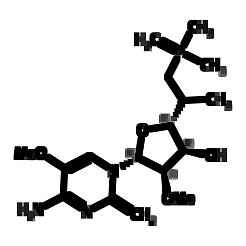 C=C1N=C(N)C(OC)=CN1[C@@H]1O[C@H](C(C)CP(=C)(C)C)[C@@H](O)[C@H]1OC